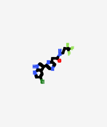 O=C(Cc1cncc(-c2c[nH]c3ncc(Cl)cc23)n1)NCCC(F)(F)F